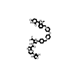 Cn1nc(C2CCC(=O)NC2=O)c2cccc(CN3CCC(OC4CCN(CC5CCC(n6cc(NC(=O)c7cnn8ccc(N9C[C@H]%10C[C@@H]9CO%10)nc78)c(C(F)F)n6)CC5)CC4)CC3)c21